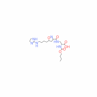 CCCCOC(=O)NC(CNC(=O)C1=NOC(CCCCNC2=NCCN2)C1)C(=O)O